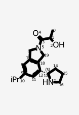 CC(O)C(=O)N1Cc2cc(C(C)C)cc([C@@H]3CCCN3)c2C1